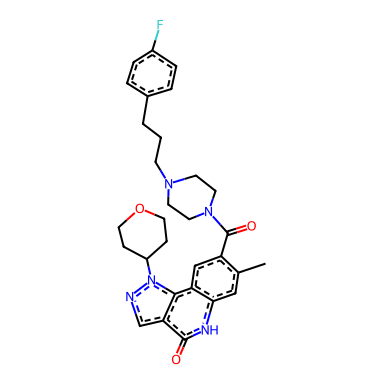 Cc1cc2[nH]c(=O)c3cnn(C4CCOCC4)c3c2cc1C(=O)N1CCN(CCCc2ccc(F)cc2)CC1